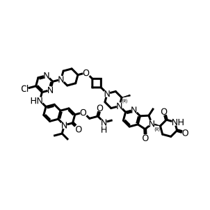 CNC(=O)COc1cc2cc(Nc3nc(N4CCC(OC5CC(N6CCN(c7ccc8c(n7)C(C)N([C@@H]7CCC(=O)NC7=O)C8=O)[C@H](C)C6)C5)CC4)ncc3Cl)ccc2n(C(C)C)c1=O